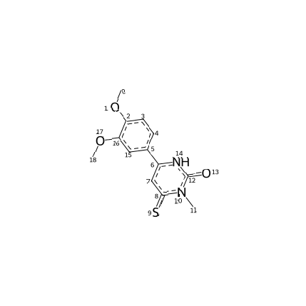 COc1ccc(-c2cc(=S)n(C)c(=O)[nH]2)cc1OC